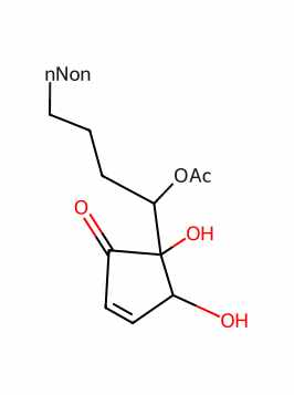 CCCCCCCCCCCCC(OC(C)=O)C1(O)C(=O)C=CC1O